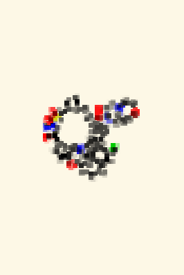 C[C@@H]1CS(=O)(=O)NC(=O)c2ccc3c(c2)N(C[C@@H]2CC[C@H]2[C@](O)(CN2CCN4CCOC[C@@H]4C2)CC[C@@H]1C)C[C@@]1(CCCc2cc(Cl)ccc21)CO3